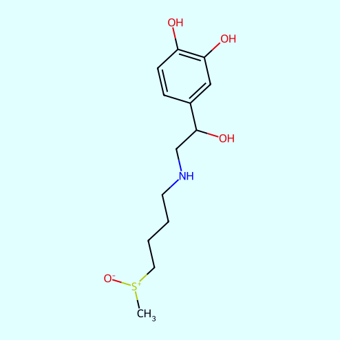 C[S+]([O-])CCCCNCC(O)c1ccc(O)c(O)c1